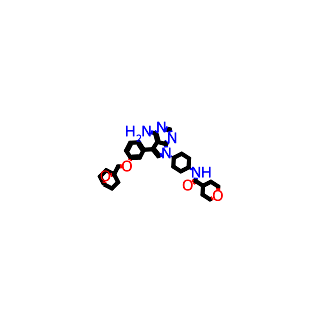 Nc1ncnc2c1c(-c1cccc(OCC34CCC(CC3)O4)c1)cn2[C@H]1CC[C@H](NC(=O)C2CCOCC2)CC1